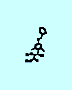 CCO[C@H](C(=O)OC)[C@H](O)c1c(C)cc(OCc2ccccc2)cc1C